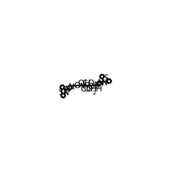 O=C(O)/C(=C(/C(=O)O)C(O)COCCN1CCN(C2=Nc3ccccc3Sc3ccccc32)CC1)C(O)COCCN1CCN(C2=Nc3ccccc3Sc3ccccc32)CC1